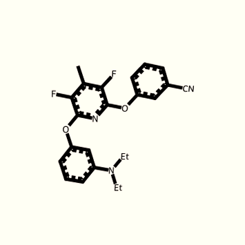 CCN(CC)c1cccc(Oc2nc(Oc3cccc(C#N)c3)c(F)c(C)c2F)c1